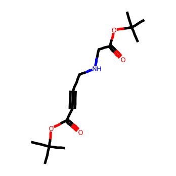 CC(C)(C)OC(=O)C#CCNCC(=O)OC(C)(C)C